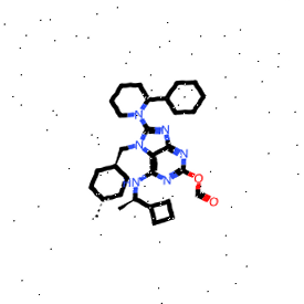 C[C@@H](Nc1nc(OC=O)nc2nc(N3CCCCC3C3CCCCC3)n(C[C@H]3CC[C@H](C)CC3)c12)C1CCC1